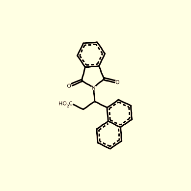 O=C(O)CC(c1cccc2ccccc12)N1C(=O)c2ccccc2C1=O